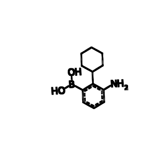 Nc1cccc(B(O)O)c1C1CCCCC1